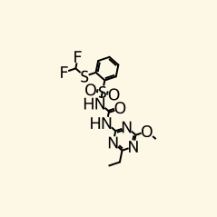 CCc1nc(NC(=O)NS(=O)(=O)c2ccccc2SC(F)F)nc(OC)n1